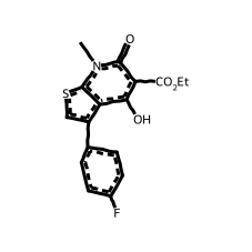 CCOC(=O)c1c(O)c2c(-c3ccc(F)cc3)csc2n(C)c1=O